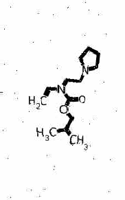 C=CN(CCN1CCCC1)C(=O)OCC(C)C